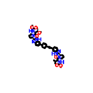 COC(=O)NC(C(=O)N1CCC[C@H]1c1nc2ccc(C#Cc3ccc(-c4ccc5nc([C@@H]6CCCN6C(=O)[C@@H](NC(=O)OC)[C@@H](C)OC)[nH]c5c4)cc3)cc2[nH]1)C(C)C